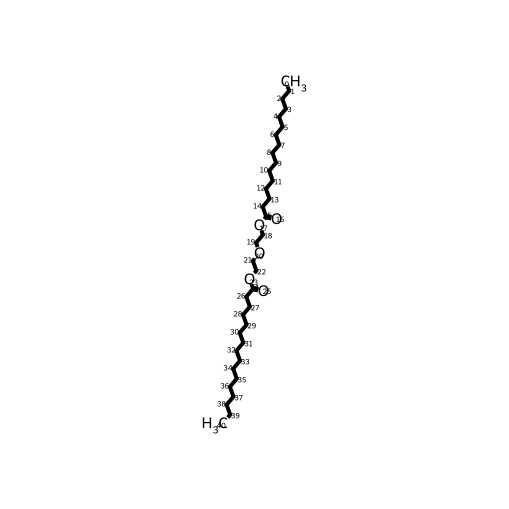 CCCCCCCCCCCCCCCC(=O)OCCOCCOC(=O)CCCCCCCCCCCCCCC